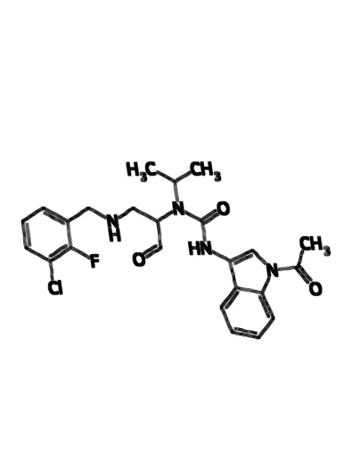 CC(=O)n1cc(NC(=O)N(C(C)C)C(C=O)CNCc2cccc(Cl)c2F)c2ccccc21